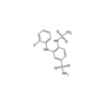 CS(=O)(=O)Nc1ccc(S(N)(=O)=O)cc1Nc1ccccc1F